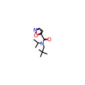 CC(C)N(CC(C)(C)C)C(=O)c1ccno1